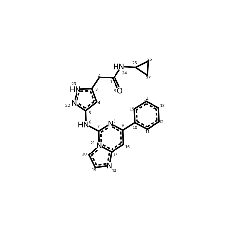 O=C(Cc1cc(Nc2nc(-c3ccccc3)cc3nccn23)n[nH]1)NC1CC1